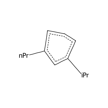 CCCc1cccc(C(C)C)c1